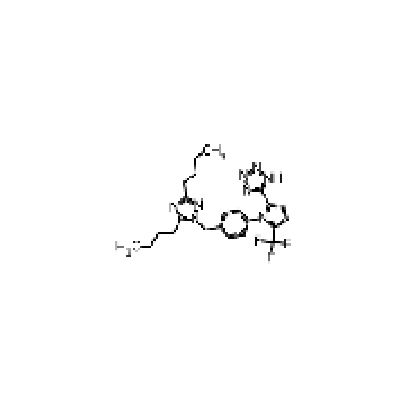 CCCCc1nc(CCCC)n(Cc2ccc(-n3c(-c4nnn[nH]4)ccc3C(F)(F)F)cc2)n1